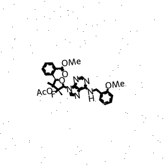 COC(=O)c1ccccc1[C@H]1OC(n2cnc3c(NCc4ccccc4OC)ncnc32)[C@](C)(F)C1(C)OC(C)=O